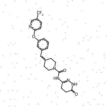 O=C1CCC(NC(=O)N2CCC(=Cc3cccc(Oc4ccc(C(F)(F)F)cn4)c3)CC2)=NN1